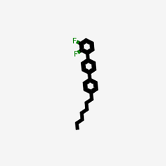 CCCCCCCc1ccc(-c2ccc(-c3cccc(F)c3F)cc2)cc1